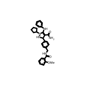 COc1ccccc1C(=O)NCc1ccc(C2NN(C3CCCC3)C(Nc3ccccc3)=C2C(N)=O)cc1